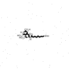 CCCCCCCCCCCCCCCCCC(=O)N[C@H](CCC(=O)O)C(=O)C(=CCC(=O)O)CC(N)C(=O)O